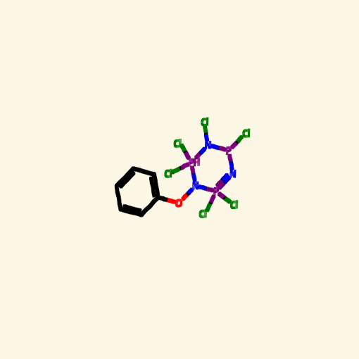 ClN1P(Cl)N=P(Cl)(Cl)N(Oc2ccccc2)[PH]1(Cl)Cl